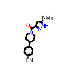 CNc1cc(C(=O)N2CCC(c3ccc(C#N)cc3)CC2)n[nH]1